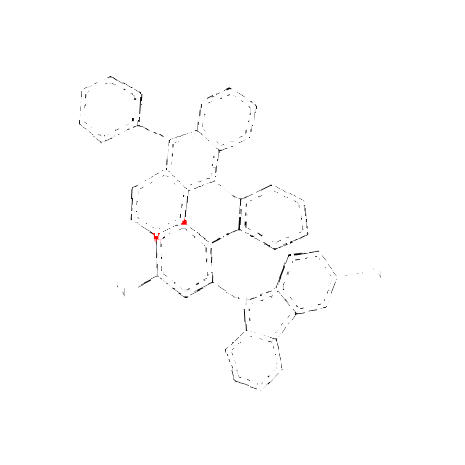 N#Cc1ccc(-c2ccccc2-c2c3ccccc3c(-c3ccccc3)c3ccccc23)c(-n2c3ccccc3c3cc(C#N)ccc32)c1